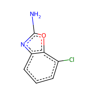 Nc1nc2cccc(Cl)c2o1